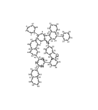 c1ccc(-c2ccc3c(c2)c2c4ccccc4c(-c4ccccc4)cc2n3-c2ccc3c(c2)oc2cccc(-c4nc(-c5ccc6ccccc6c5)nc(-c5ccc6ccccc6c5)n4)c23)cc1